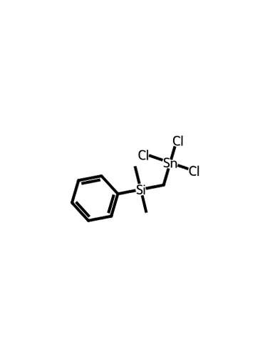 C[Si](C)([CH2][Sn]([Cl])([Cl])[Cl])c1ccccc1